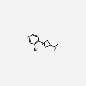 CN(C)C1CN(c2ccncc2Br)C1